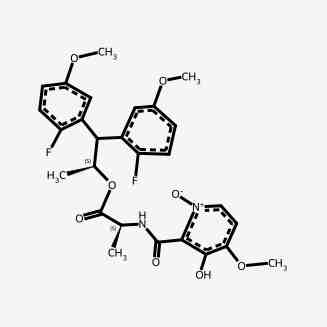 COc1ccc(F)c(C(c2cc(OC)ccc2F)[C@H](C)OC(=O)[C@H](C)NC(=O)c2c(O)c(OC)cc[n+]2[O-])c1